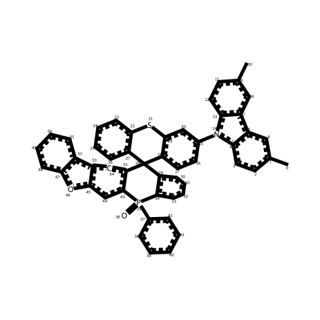 Cc1ccc2c(c1)c1cc(C)ccc1n2-c1ccc2c(c1)Sc1ccccc1C21c2ccccc2P(=O)(c2ccccc2)c2cc3oc4ccccc4c3cc21